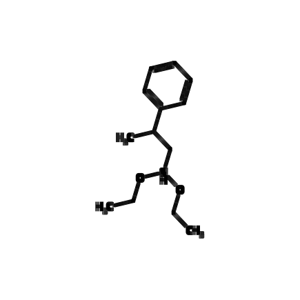 CCO[SiH](CC(C)c1ccccc1)OCC